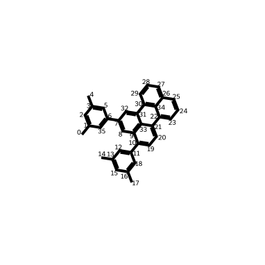 Cc1cc(C)cc(-c2cc3c(-c4cc(C)cc(C)c4)ccc4c5cccc6cccc(c(c2)c34)c65)c1